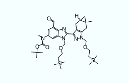 CN(C(=O)OC(C)(C)C)c1cc(C=O)c2nc(-c3nn(COCC[Si](C)(C)C)c4c3C[C@@H]3C[C@]3(C)C4)n(COCC[Si](C)(C)C)c2c1